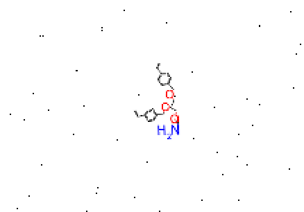 C=Cc1ccc(COCC(COCN)OCc2ccc(C=C)cc2)cc1